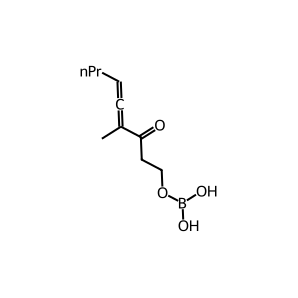 CCCC=C=C(C)C(=O)CCOB(O)O